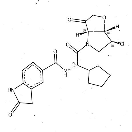 O=C1Cc2cc(C(=O)N[C@H](C(=O)N3C[C@H](Cl)[C@H]4OCC(=O)[C@H]43)C3CCCC3)ccc2N1